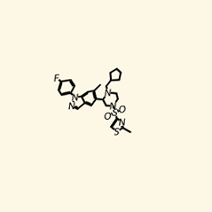 Cc1nc(S(=O)(=O)N2CCN(CC3CCCC3)C(c3cc4cnn(-c5ccc(F)cc5)c4cc3C)C2)cs1